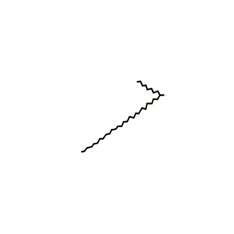 [CH2]C(CCCCCCCC)CCCCCCCCCCCCCCCCCCCCCCCCCC